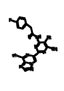 CCCc1nc(-c2nc(O)c(CC)c(NC(=O)Cc3ccc(F)cc3)n2)cn2ncnc12